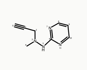 C#CCN(C)Nc1ncccn1